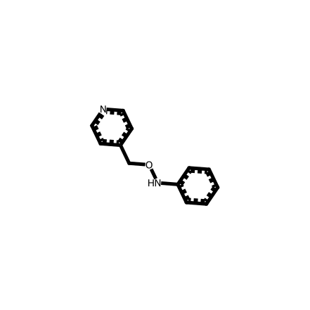 c1ccc(NOCc2ccncc2)cc1